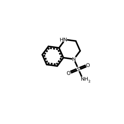 NS(=O)(=O)N1CCNc2ccccc21